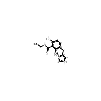 CCOC(=O)c1c(O)ccc(Cc2c[nH]cn2)c1C